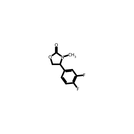 CN1C(=O)OCC1c1ccc(F)c(F)c1